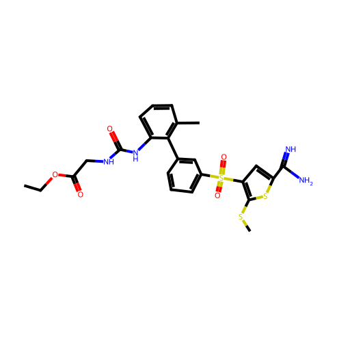 CCOC(=O)CNC(=O)Nc1cccc(C)c1-c1cccc(S(=O)(=O)c2cc(C(=N)N)sc2SC)c1